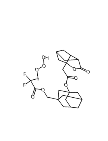 O=C(CC12CC3CC(C(=O)O1)C2C3)OC12CC3CC(CC(COC(=O)C(F)(F)SOOO)(C3)C1)C2